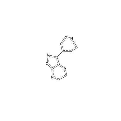 c1cc(-c2noc3nccnc23)ccn1